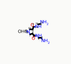 NCCNC(=O)CCN(C=O)CCC(=O)NCCN